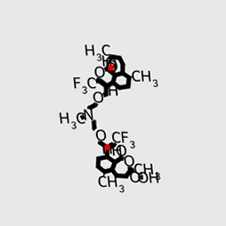 C[C@@H]1CC[C@H]2C(COCCN(C)CCOCC3=C(C(F)(F)F)O[C@@H]4O[C@]5(C)CCC6[C@H](C)CC[C@@H]3[C@]64OO5)=C(C(F)(F)F)O[C@@H]3OC(C)(OO)CCC1C32